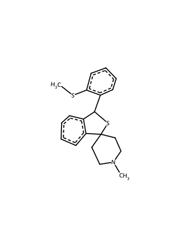 CSc1ccccc1C1SC2(CCN(C)CC2)c2ccccc21